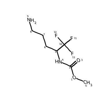 COC(=O)NC(CCCN)C(F)(F)F